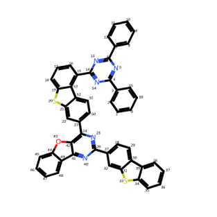 c1ccc(-c2nc(-c3ccccc3)nc(-c3cccc4sc5cc(-c6nc(-c7ccc8c(c7)sc7ccccc78)nc7c6oc6ccccc67)ccc5c34)n2)cc1